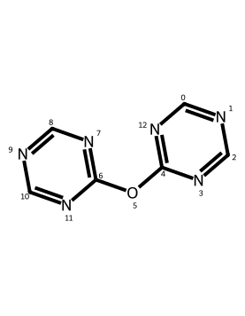 c1ncnc(Oc2ncncn2)n1